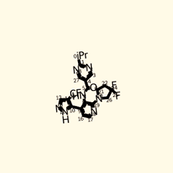 CC(C)c1ncc(C(=O)Nc2c(-c3[nH]ncc3C(F)(F)F)ccnc2N2CCC(F)(F)C2)cn1